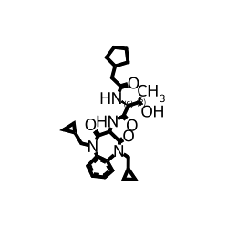 C[C@@H](O)[C@H](NC(=O)CC1CCCC1)C(=O)NC1C(=O)N(CC2CC2)c2ccccc2N(CC2CC2)C1=O